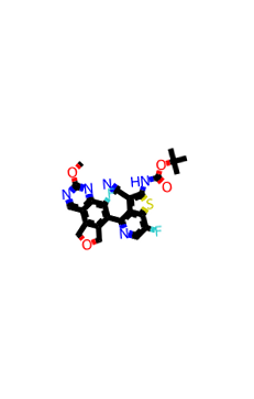 COc1ncc2c3c(c(-c4ncc(F)c5sc(NC(=O)OC(C)(C)C)c(C#N)c45)c(F)c2n1)COC3